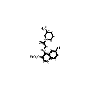 CCOC(=O)c1cnc2ccc(Cl)cc2c1NCC(=O)N1CCCC(C)C1